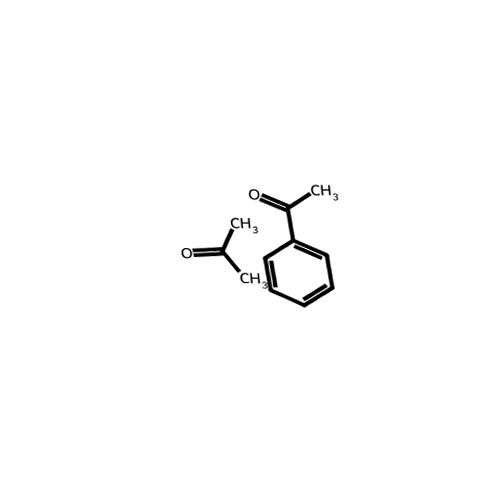 CC(=O)c1ccccc1.CC(C)=O